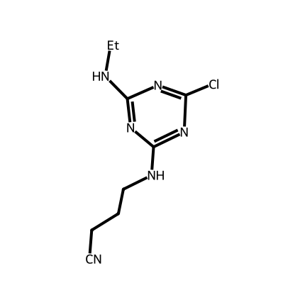 CCNc1nc(Cl)nc(NCCCC#N)n1